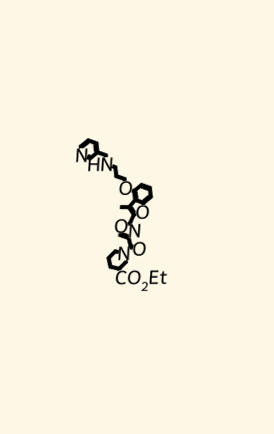 CCOC(=O)C1CCCN(C(=O)c2coc(-c3oc4cccc(OCCCNCc5cccnc5)c4c3C)n2)C1